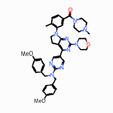 COc1ccc(CN(Cc2ccc(OC)cc2)c2ncc(-c3nc(N4CCOCC4)nc4c3CCN4c3cc(C(=O)N4CCN(C)CC4)ccc3C)cn2)cc1